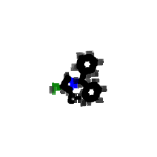 C[C@H]1[C@@H](F)CN1C(c1ccccc1)c1ccccc1